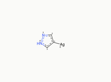 [Ag][c]1cn[nH]c1